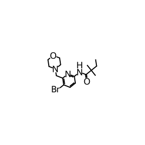 CCC(C)(C)C(=O)Nc1ccc(Br)c(CN2CCOCC2)n1